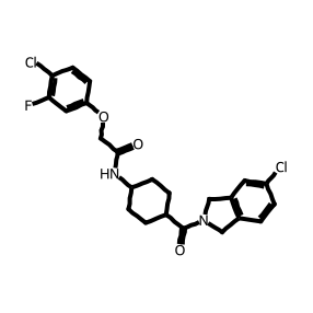 O=C(COc1ccc(Cl)c(F)c1)NC1CCC(C(=O)N2Cc3ccc(Cl)cc3C2)CC1